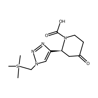 C[Si](C)(C)Cn1cc([C@@H]2CC(=O)CCN2C(=O)O)nn1